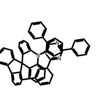 C1=CC(c2cccc3c2C2(c4ccccc4-3)c3ccccc3N(c3ccccc3)c3ccccc32)=CC(c2nc(-c3ccccc3)nc(-c3ccccc3)n2)C1